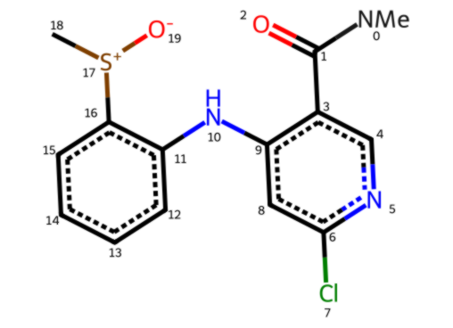 CNC(=O)c1cnc(Cl)cc1Nc1ccccc1[S+](C)[O-]